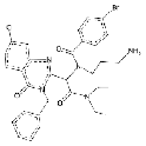 CCN(CC)C(=O)C(c1nc2cc(Cl)ccc2c(=O)n1Cc1ccccc1)N(CCCN)C(=O)c1ccc(Br)cc1